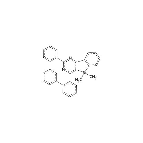 C[Si]1(C)c2ccccc2-c2nc(-c3ccccc3)nc(-c3ccccc3-c3ccccc3)c21